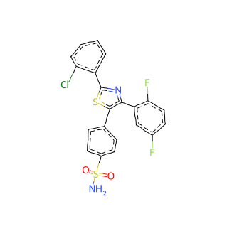 NS(=O)(=O)c1ccc(-c2sc(-c3ccccc3Cl)nc2-c2cc(F)ccc2F)cc1